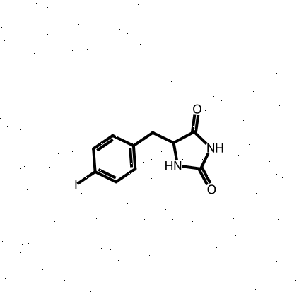 O=C1NC(=O)C(Cc2ccc(I)cc2)N1